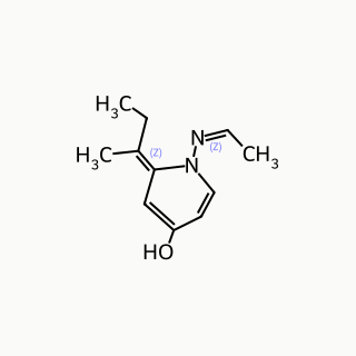 C/C=N\N1C=CC(O)=C/C1=C(\C)CC